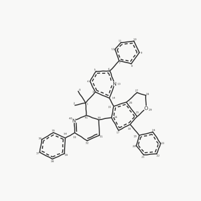 CC1(C)c2ccc(-c3ccccc3)nc2-c2c(cc(-c3ccccc3)c3c2CCO3)C2C=CC(c3ccccc3)=NC21